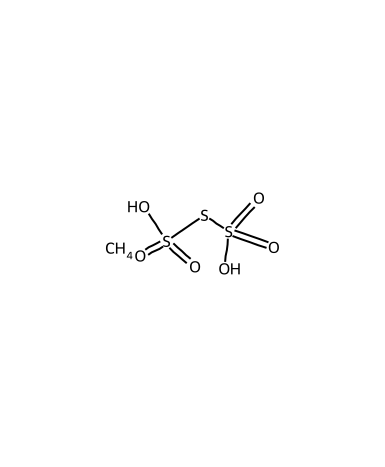 C.O=S(=O)(O)SS(=O)(=O)O